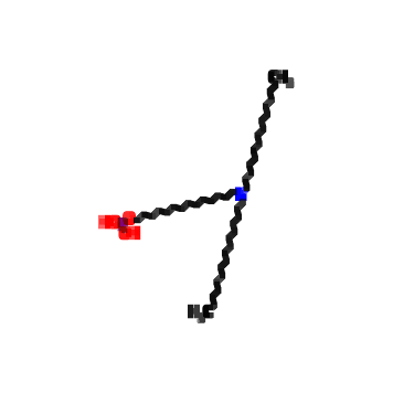 CCCCCCCCCCCCCCCCN(CCCCCCCCCCCCCCCC)CCCCCCCCCCCCCCOP(O)O